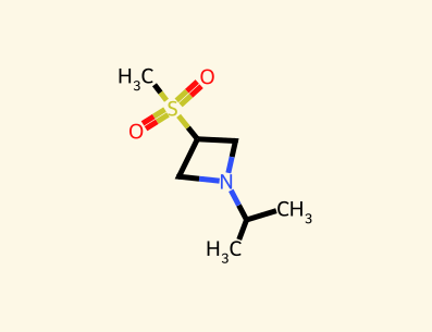 CC(C)N1CC(S(C)(=O)=O)C1